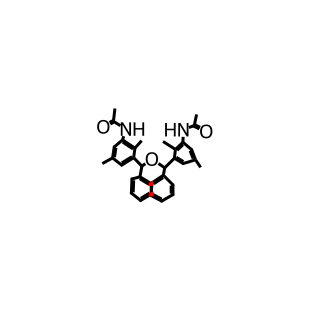 CC(=O)Nc1cc(C)cc(C(OC(c2ccccc2)c2cc(C)cc(NC(C)=O)c2C)c2ccccc2)c1C